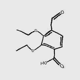 CCOc1c(C=O)ccc(C(=O)O)c1OCC